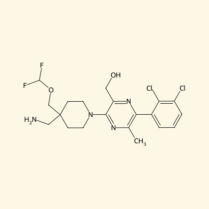 Cc1nc(N2CCC(CN)(COC(F)F)CC2)c(CO)nc1-c1cccc(Cl)c1Cl